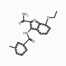 CCOc1cccc2c(NC(=O)c3cccc(C)c3)c(C(N)=O)oc12